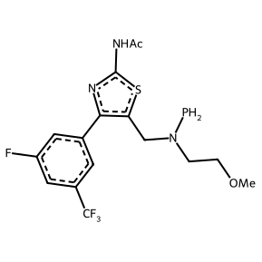 COCCN(P)Cc1sc(NC(C)=O)nc1-c1cc(F)cc(C(F)(F)F)c1